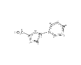 O=C(O)c1cnn(-c2ccncc2)c1